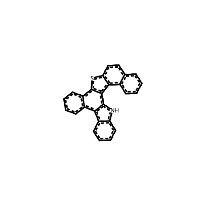 c1ccc2c(c1)ccc1sc3c4ccccc4c4c5ccccc5[nH]c4c3c12